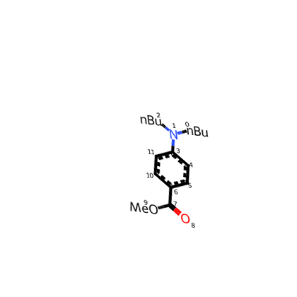 CCCCN(CCCC)c1ccc(C(=O)OC)cc1